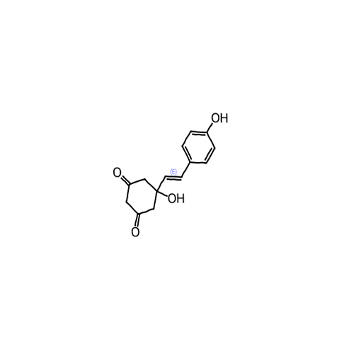 O=C1CC(=O)CC(O)(/C=C/c2ccc(O)cc2)C1